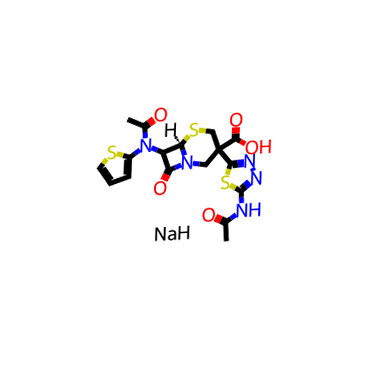 CC(=O)Nc1nnc(C2(C(=O)O)CS[C@@H]3C(N(C(C)=O)c4cccs4)C(=O)N3C2)s1.[NaH]